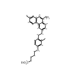 CCOC(=O)CCCCOc1ccc(CCc2cnc3c(N)nc4cc(C)ccc4c3c2)c(C)c1